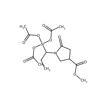 CCC(N1CC(C(=O)OC)CC1=O)[Si](OC(C)=O)(OC(C)=O)OC(C)=O